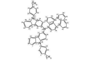 Cc1ccc(-n2c3ccccc3c3cc(N(c4ccc5c(c4)c4ccccc4n5-c4ccc(C)cc4)c4ccc5c6cccc7cccc(c8cccc4c85)c76)ccc32)cc1